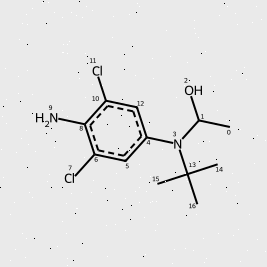 CC(O)N(c1cc(Cl)c(N)c(Cl)c1)C(C)(C)C